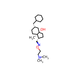 CN(C)CCON=C[C@H]1CC[C@]2(O)C[C@@H](CC3CCCCC3)CC[C@]12C